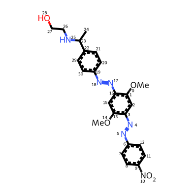 COc1cc(/N=N/c2ccc([N+](=O)[O-])cc2)c(OC)cc1/N=N/c1ccc(C(C)NCCO)cc1